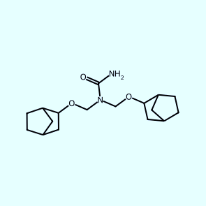 NC(=O)N(COC1CC2CCC1C2)COC1CC2CCC1C2